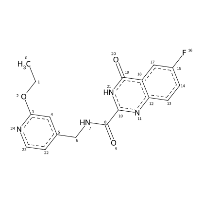 CCOc1cc(CNC(=O)c2nc3ccc(F)cc3c(=O)[nH]2)ccn1